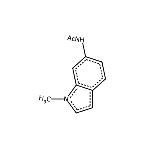 CC(=O)Nc1ccc2ccn(C)c2c1